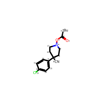 CC(C)(C)C(=O)ON1CCC(C#N)(c2ccc(Cl)cc2)CC1